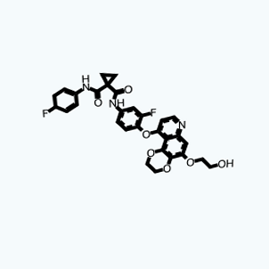 O=C(NC1=CCC(F)C=C1)C1(C(=O)Nc2ccc(Oc3ccnc4cc(OCCO)c5c(c34)OCCO5)c(F)c2)CC1